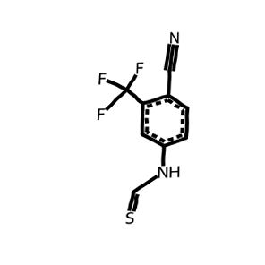 N#Cc1ccc(NC=S)cc1C(F)(F)F